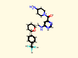 NC1CCN(C(=O)c2cc(NC[C@H]3CCC[C@@H](c4ccc(C(F)(F)F)cc4)O3)ncn2)CC1